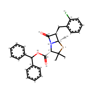 CC1(C)S[C@@H]2[C@H](Cc3ccccc3F)C(=O)N2[C@H]1C(=O)OC(c1ccccc1)c1ccccc1